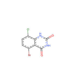 O=c1[nH]c(=O)c2c(Br)ccc(Cl)c2[nH]1